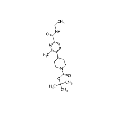 CCNC(=O)c1ccc(N2CCN(C(=O)OC(C)(C)C)CC2)c(C)n1